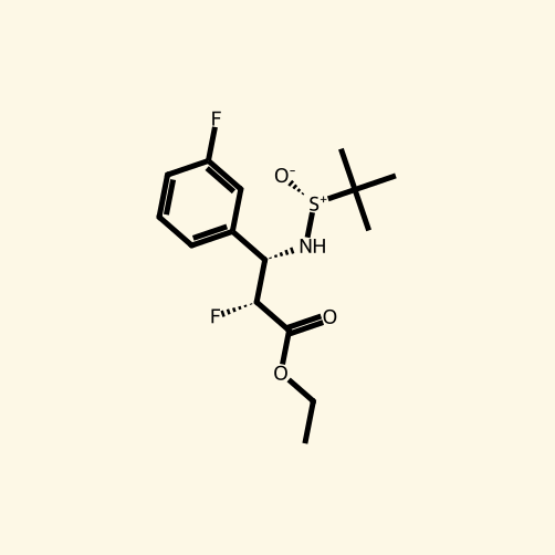 CCOC(=O)[C@H](F)[C@@H](N[S@+]([O-])C(C)(C)C)c1cccc(F)c1